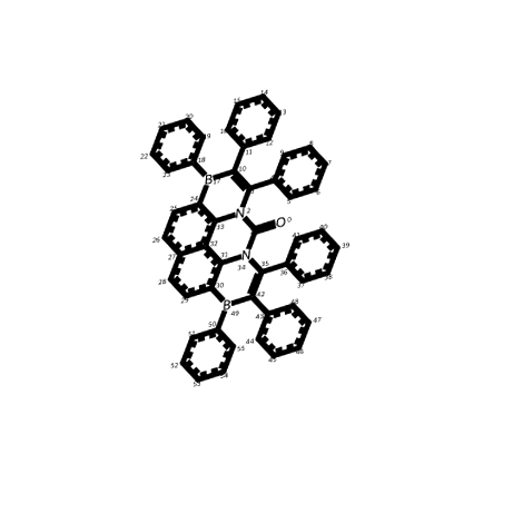 O=C1N2C(c3ccccc3)=C(c3ccccc3)B(c3ccccc3)c3ccc4ccc5c(c4c32)N1C(c1ccccc1)=C(c1ccccc1)B5c1ccccc1